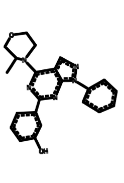 CC1COCCN1c1nc(-c2cccc(O)c2)nc2c1cnn2-c1ccccc1